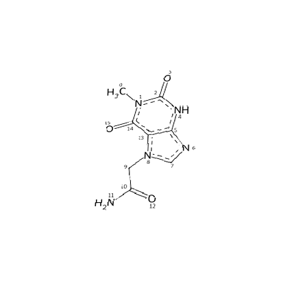 Cn1c(=O)[nH]c2ncn(CC(N)=O)c2c1=O